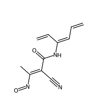 C=C/C=C(\C=C)NC(=O)/C(C#N)=C(\C)N=O